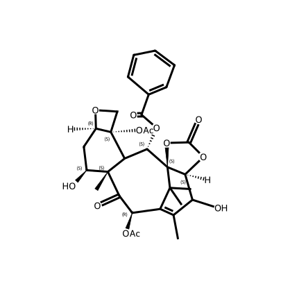 CC(=O)O[C@H]1C(=O)[C@@]2(C)C([C@H](OC(=O)c3ccccc3)[C@]34OC(=O)O[C@H]3C(O)C(C)=C1C4(C)C)[C@]1(OC(C)=O)CO[C@@H]1C[C@@H]2O